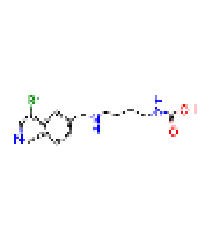 O=C(O)NCCCCNCc1ccc2cncc(Br)c2c1